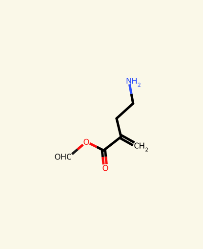 C=C(CCN)C(=O)OC=O